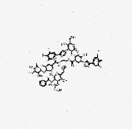 CCC[C@H](OC1C(OC(=O)c2ccccc2)[C@H](O[C@@H]2CC(C(=O)NCCNC(=O)C3CC(n4cc(-c5cc(F)c(F)c(F)c5)nn4)C(O)[C@H](O[C@@H]4OC(CO)[C@H](O)C(n5cc(-c6cc(F)c(F)c(F)c6)nn5)C4O)C3)CC(CC)C2O[C@@H]2OC(C)[C@@H](O)C(O)C2O)OC(CO)[C@@H]1O)C(=O)O